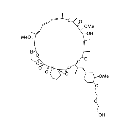 CO[C@H]1C[C@@H]2CC[C@@H](C)[C@@](O)(O2)C(=O)C(=O)N2CCCC[C@H]2C(=O)O[C@H]([C@H](C)C[C@@H]2CC[C@@H](OCCOCCO)[C@H](OC)C2)CC(=O)[C@H](C)/C=C(\C)[C@@H](O)[C@@H](OC)C(=O)[C@H](C)C[C@H](C)/C=C/C=C/C=C/1C